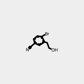 N#Cc1ccc(Br)c(CCO)c1